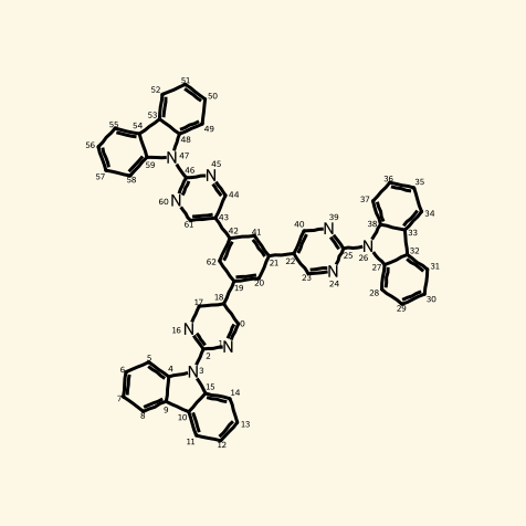 C1=NC(n2c3ccccc3c3ccccc32)=NCC1c1cc(-c2cnc(-n3c4ccccc4c4ccccc43)nc2)cc(-c2cnc(-n3c4ccccc4c4ccccc43)nc2)c1